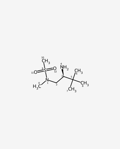 CN(C[C@@H](N)C(C)(C)C)S(C)(=O)=O